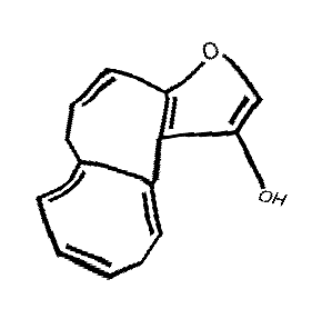 Oc1coc2ccc3ccccc3c12